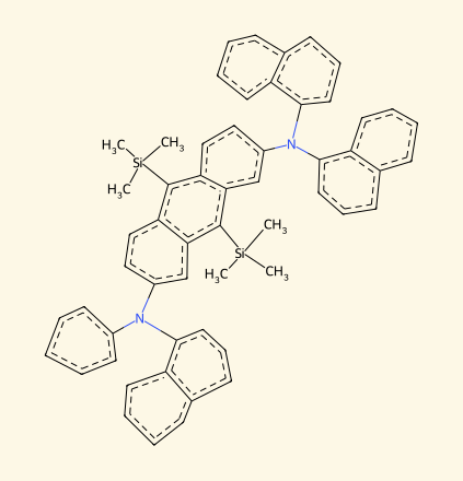 C[Si](C)(C)c1c2ccc(N(c3ccccc3)c3cccc4ccccc34)cc2c([Si](C)(C)C)c2cc(N(c3cccc4ccccc34)c3cccc4ccccc34)ccc12